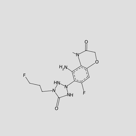 CN1C(=O)COc2cc(F)c(N3NC(=O)N(CCCF)N3)c(N)c21